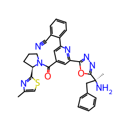 Cc1csc([C@H]2CCCN2C(=O)c2cc(-c3nnc([C@@](C)(N)Cc4ccccc4)o3)nc(-c3ccccc3C#N)c2)n1